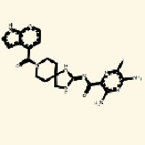 Nc1nc(N)c(C(=O)/N=C2\NCC3(CCN(C(=O)c4ccnc5[nH]ccc45)CC3)N2)nc1I